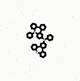 c1ccc(N(c2ccc3c(c2)-c2ccccc2Oc2ccccc2-3)c2ccc3c(c2)-c2ccccc2-c2ccccc2N3c2ccccc2)cc1